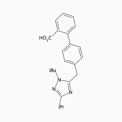 CCC(C)n1nc(C(C)C)nc1Cc1ccc(-c2ccccc2C(=O)O)cc1